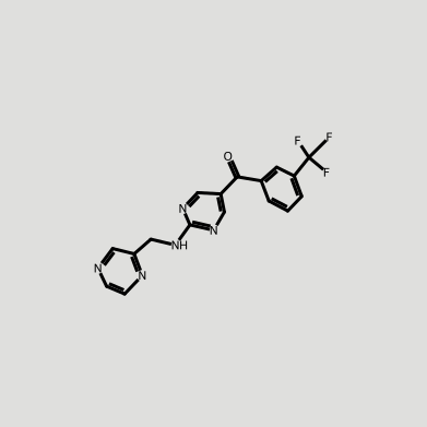 O=C(c1cnc(NCc2cnccn2)nc1)c1cccc(C(F)(F)F)c1